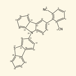 N#Cc1cccc(C#N)c1-c1ccc2c(c1)c1ccccc1n2-c1ccc2c(c1)sc1ccccc12